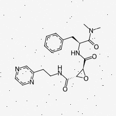 CN(C)C(=O)[C@H](Cc1ccccc1)NC(=O)[C@H]1O[C@@H]1C(=O)NCCc1cnccn1